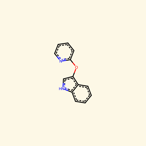 c1ccc(Oc2c[nH]c3ccccc23)nc1